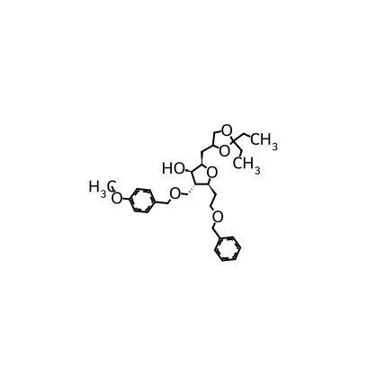 CCC1(CC)OCC(C[C@H]2O[C@@H](CCOCc3ccccc3)[C@H](COCc3ccc(OC)cc3)[C@H]2O)O1